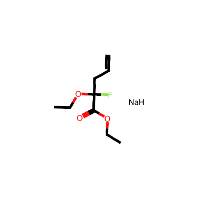 C=CCC(F)(OCC)C(=O)OCC.[NaH]